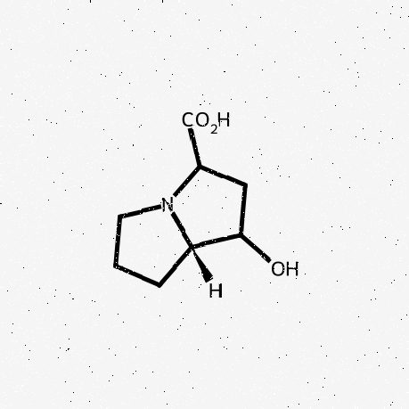 O=C(O)C1CC(O)[C@@H]2CCCN12